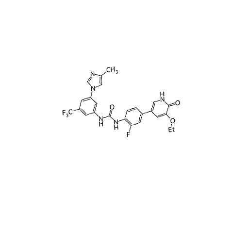 CCOc1cc(-c2ccc(NC(=O)Nc3cc(-n4cnc(C)c4)cc(C(F)(F)F)c3)c(F)c2)c[nH]c1=O